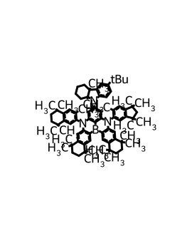 Cc1cc2c(cc1N1c3cc4c(cc3B3c5cc6c(cc5N(c5cc7c(cc5C)C(C)(C)CC7(C)C)c5cc(N7c8ccc(C(C)(C)C)cc8C8(C)CCCCC78C)cc1c53)C(C)(C)CCC6(C)C)C(C)(C)CCC4(C)C)C(C)(C)CCC2(C)C